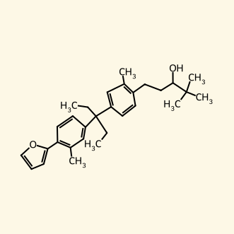 CCC(CC)(c1ccc(CCC(O)C(C)(C)C)c(C)c1)c1ccc(-c2ccco2)c(C)c1